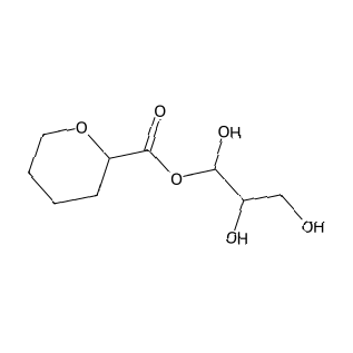 O=C(OC(O)C(O)CO)C1CCCCO1